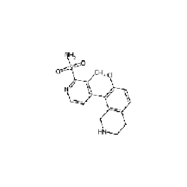 Cc1c(-c2c(Cl)ccc3c2CNCC3)ccnc1S(N)(=O)=O